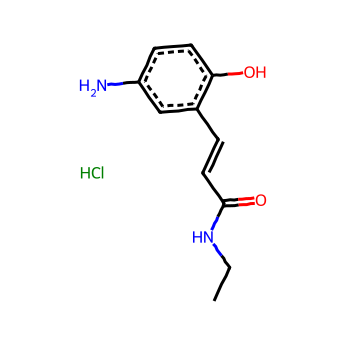 CCNC(=O)/C=C/c1cc(N)ccc1O.Cl